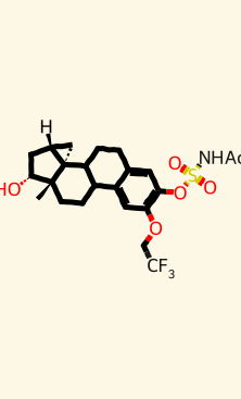 CC(=O)NS(=O)(=O)Oc1cc2c(cc1OCC(F)(F)F)C1CC[C@]3(C)[C@H](O)C[C@@H]4C[C@@]43C1CC2